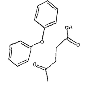 CC(=O)CCC(=O)O.c1ccc(Oc2ccccc2)cc1